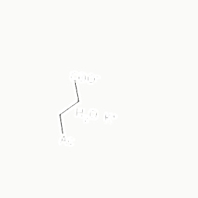 CC(=O)CCC(=O)[O-].O.[K+]